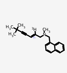 [2H]/C(=C\C#CC(C)(C)C)CN(C)Cc1cccc2ccccc12